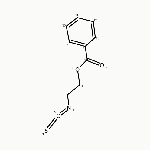 O=C(OCCN=C=S)c1ccccc1